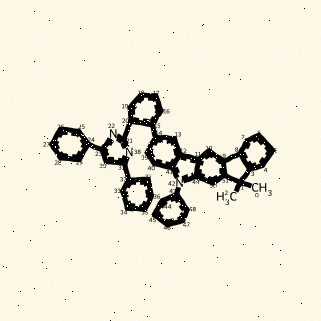 CC1(C)c2ccccc2-c2cc3c4cc(-c5ccccc5-c5nc(-c6ccccc6)cc(-c6ccccc6)n5)ccc4n(-c4ccccc4)c3cc21